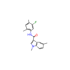 Cc1ccc2c(c1)c(C(=O)Nc1cc(F)c(C)cc1C)cn2C